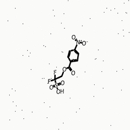 O=C(OCC(F)(F)S(=O)(=O)O)c1ccc([N+](=O)[O-])cc1